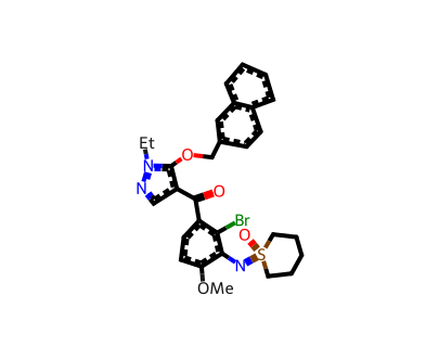 CCn1ncc(C(=O)c2ccc(OC)c(N=S3(=O)CCCCC3)c2Br)c1OCc1ccc2ccccc2c1